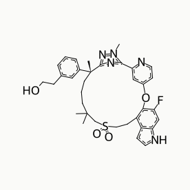 Cn1nc2nc1-c1cc(ccn1)Oc1c(F)cc3[nH]ccc3c1CCS(=O)(=O)CC(C)(C)CCC[C@]2(C)c1cccc(CCO)c1